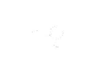 CCOC(=O)COc1ccccc1SC